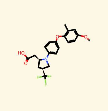 COc1ccc(Oc2ccc(N3C[C@@H](C(F)(F)F)C[C@H]3CC(=O)O)cc2)c(C)c1